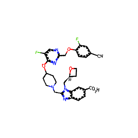 N#Cc1ccc(OCc2ncc(F)c(OC3CCN(Cc4nc5ccc(C(=O)O)cc5n4C[C@@H]4CCO4)CC3)n2)c(F)c1